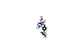 Cc1cc(C(F)(F)F)nn1-c1ccc(Cn2c(=O)n(CC=O)c3cnc(Cl)nc32)cc1